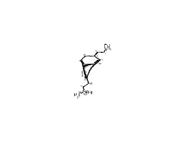 CCCC1C=C2C(=CC1)C2CCNC